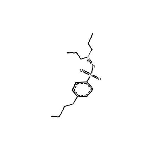 CCCCc1ccc(S(=O)(=O)N=[PH](CCC)CCC)cc1